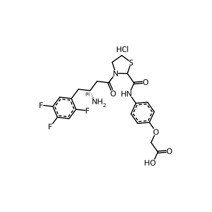 Cl.N[C@@H](CC(=O)N1CCSC1C(=O)Nc1ccc(OCC(=O)O)cc1)Cc1cc(F)c(F)cc1F